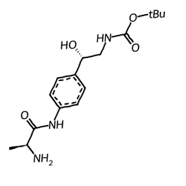 C[C@H](N)C(=O)Nc1ccc([C@H](O)CNC(=O)OC(C)(C)C)cc1